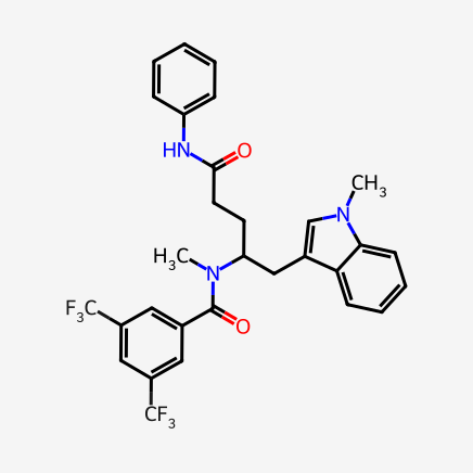 CN(C(=O)c1cc(C(F)(F)F)cc(C(F)(F)F)c1)C(CCC(=O)Nc1ccccc1)Cc1cn(C)c2ccccc12